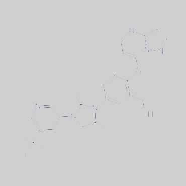 CCc1cc(N2C(=O)CN(c3cncc(C(F)(F)F)c3)C2=O)ccc1Oc1ccnc2ccnn12